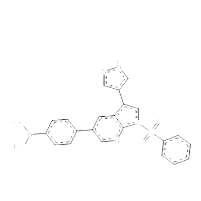 CN(C)c1ccc(-c2cnc3c(c2)c(-c2cn[nH]c2)cn3S(=O)(=O)c2ccccc2)cc1